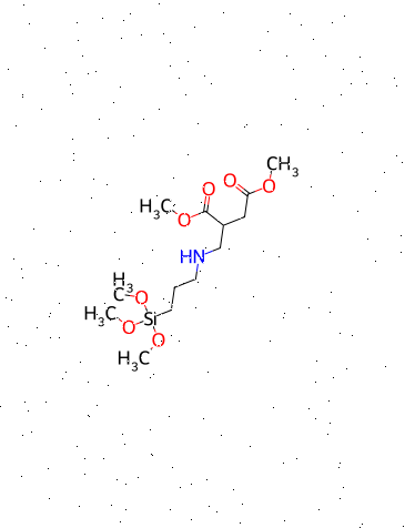 COC(=O)CC(CNCCC[Si](OC)(OC)OC)C(=O)OC